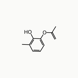 C=C(C)Oc1cccc(C)c1O